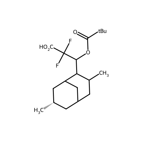 CC1CC2CC(C[C@@H](C)C2)C1C(OC(=O)C(C)(C)C)C(F)(F)C(=O)O